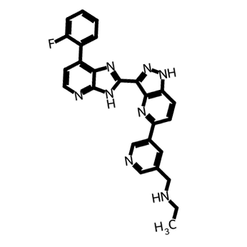 CCNCc1cncc(-c2ccc3[nH]nc(-c4nc5c(-c6ccccc6F)ccnc5[nH]4)c3n2)c1